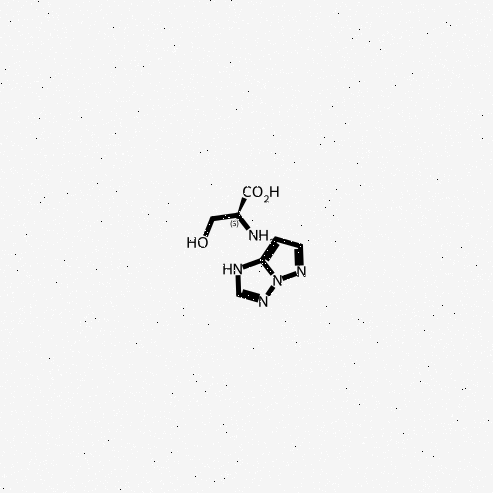 N[C@@H](CO)C(=O)O.c1cc2[nH]cnn2n1